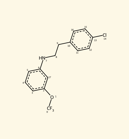 FC(F)(F)Oc1cccc(NCCc2ccc(Cl)cc2)c1